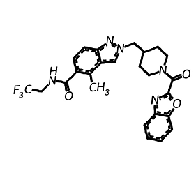 Cc1c(C(=O)NCC(F)(F)F)ccc2nn(CC3CCN(C(=O)c4nc5ccccc5o4)CC3)cc12